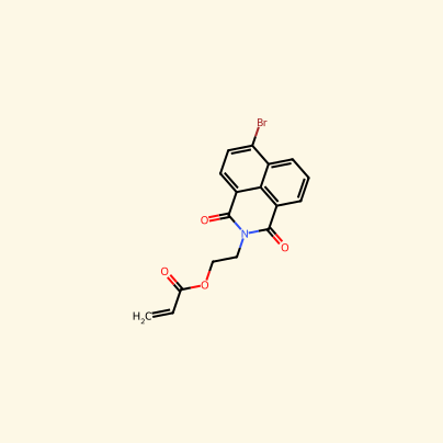 C=CC(=O)OCCN1C(=O)c2cccc3c(Br)ccc(c23)C1=O